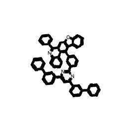 c1ccc(-c2cccc(-c3cc(-c4cccc(-c5ccccc5)c4)nc(-c4cccc(-c5c6c(cc7c(-c8ccccc8)nc8ccccc8c57)oc5ccccc56)c4)n3)c2)cc1